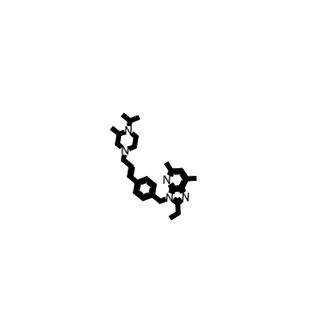 CCc1nc2c(C)cc(C)nc2n1Cc1ccc(C=CCN2CCN(C(C)C)C(C)C2)cc1